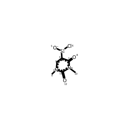 Cn1cc([S+]([O-])Cl)c(=O)n(C)c1=O